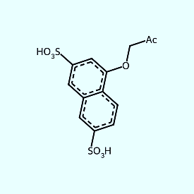 CC(=O)COc1cc(S(=O)(=O)O)cc2cc(S(=O)(=O)O)ccc12